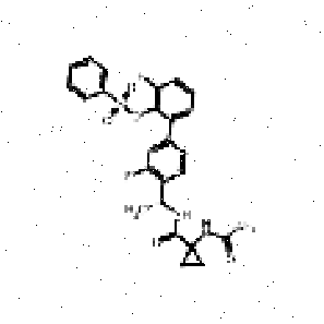 C[C@@H](NC(=O)C1(NC(=O)C(F)(F)F)CC1)c1ccc(-c2cccc(F)c2OS(=O)(=O)c2ccccc2)cc1F